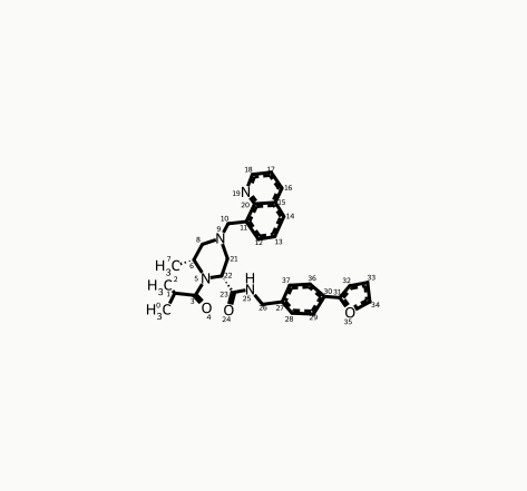 CC(C)C(=O)N1[C@H](C)CN(Cc2cccc3cccnc23)C[C@@H]1C(=O)NCc1ccc(-c2ccco2)cc1